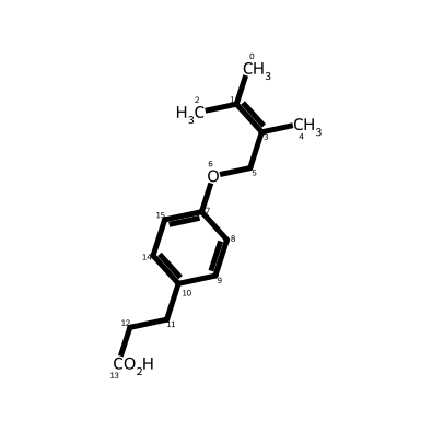 CC(C)=C(C)COc1ccc(CCC(=O)O)cc1